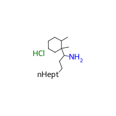 CCCCCCCCCC(N)C1(C)CCCCC1C.Cl